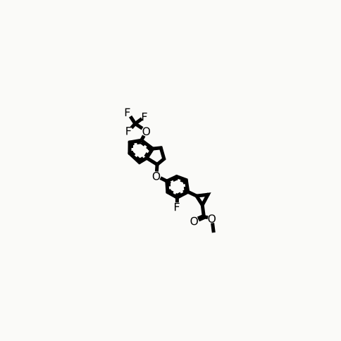 COC(=O)C1CC1c1ccc(OC2CCc3c(OC(F)(F)F)cccc32)cc1F